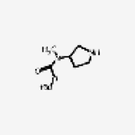 CN(C(=O)OC(C)(C)C)C1CCNC1